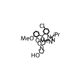 COc1cccc(C2OC(CC(=O)N3CCC(O)C3)c3nnc(C(C)C)n3-c3ccc(Cl)cc32)c1OC